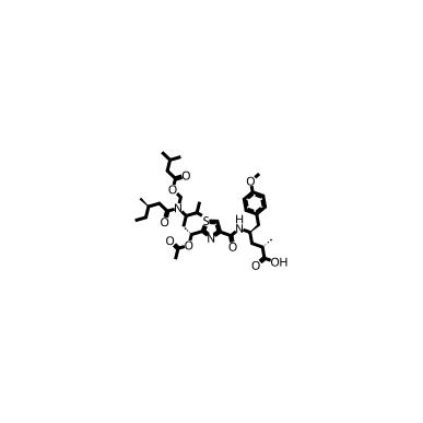 CC[C@@H](C)CC(=O)N(COC(=O)CC(C)C)C(C[C@@H](OC(C)=O)c1nc(C(=O)N[C@@H](Cc2ccc(OC)cc2)C[C@H](C)C(=O)O)cs1)C(C)C